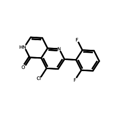 O=c1[nH]ccc2nc(-c3c(F)cccc3F)cc(Cl)c12